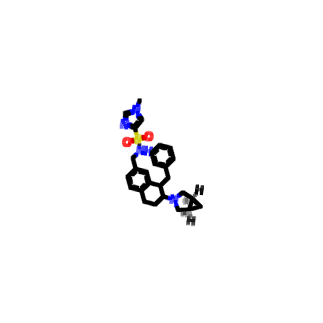 Cn1cnc(S(=O)(=O)NCc2ccc3c(c2)C(Cc2ccccc2)C(N2C[C@H]4C[C@H]4C2)CC3)c1